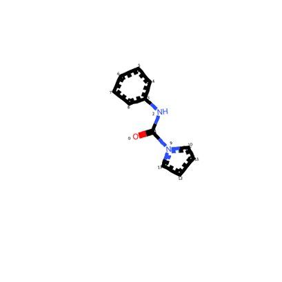 O=C(Nc1ccccc1)n1[c]ccc1